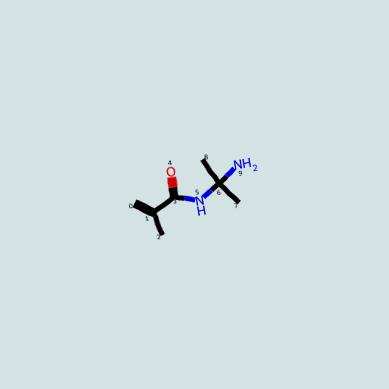 C=C(C)C(=O)NC(C)(C)N